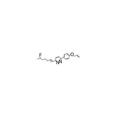 C=CCOc1ccc(-c2ccc(/C=C/CCCC(C)F)nn2)cc1